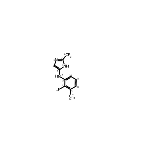 Fc1c(Nc2cnc(C(F)(F)F)[nH]2)cccc1C(F)(F)F